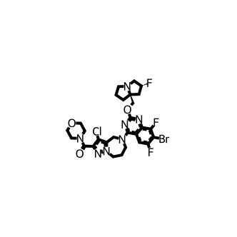 O=C(c1nn2c(c1Cl)CN(c1nc(OC[C@@]34CCCN3C[C@H](F)C4)nc3c(F)c(Br)c(F)cc13)CCC2)N1CCOCC1